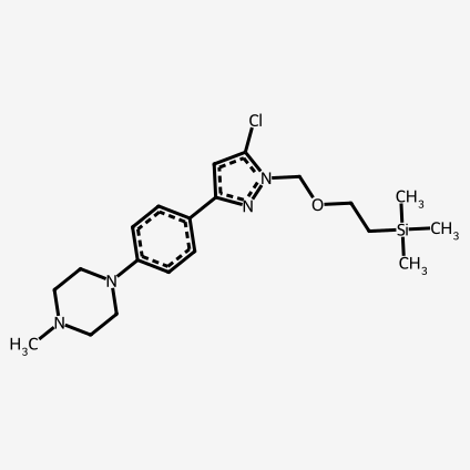 CN1CCN(c2ccc(-c3cc(Cl)n(COCC[Si](C)(C)C)n3)cc2)CC1